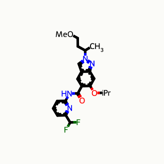 COCCC(C)n1cc2cc(C(=O)Nc3cccc(C(F)F)n3)c(OC(C)C)cc2n1